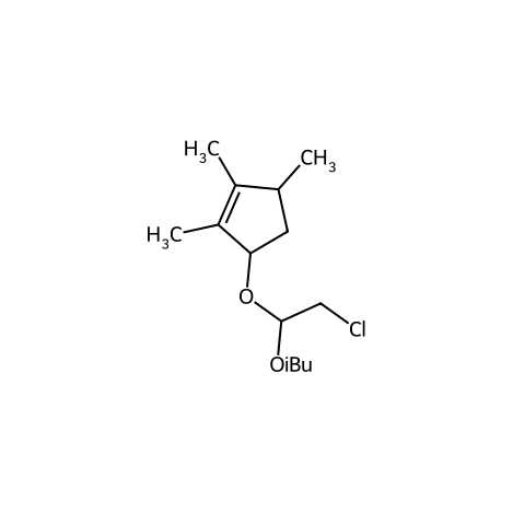 CC1=C(C)C(OC(CCl)OCC(C)C)CC1C